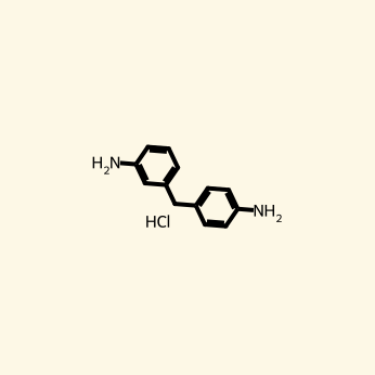 Cl.Nc1ccc(Cc2cccc(N)c2)cc1